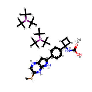 CC(C)(C)P(C(C)(C)C)C(C)(C)C.CC(C)(C)P(C(C)(C)C)C(C)(C)C.CSc1cnc2cc(-c3ccc(C4(NC(=O)O)CCC4)cc3)[nH]c2n1.[Pd]